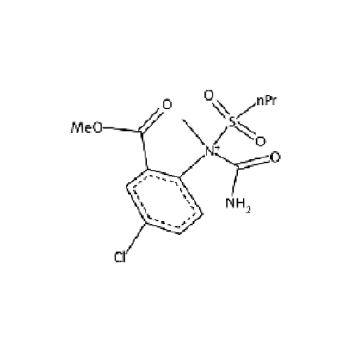 CCCS(=O)(=O)[N+](C)(C(N)=O)c1ccc(Cl)cc1C(=O)OC